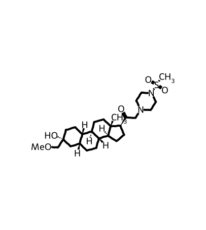 COC[C@@]1(O)CC[C@H]2[C@H](CC[C@@H]3[C@@H]2CC[C@]2(C)[C@@H](C(=O)CN4CCN(S(C)(=O)=O)CC4)CC[C@@H]32)C1